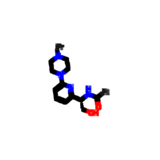 CCC(=O)N[C@H](CO)c1cccc(N2CCN(C(C)C)CC2)n1